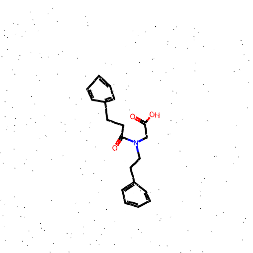 O=C(O)CN(CCc1ccccc1)C(=O)CCc1ccccc1